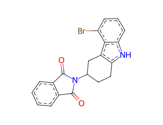 O=C1c2ccccc2C(=O)N1C1CCc2[nH]c3cccc(Br)c3c2C1